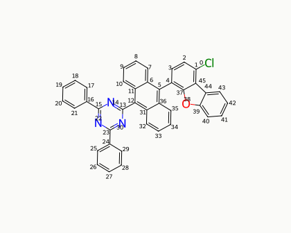 Clc1ccc(-c2c3ccccc3c(-c3nc(-c4ccccc4)nc(-c4ccccc4)n3)c3ccccc23)c2oc3ccccc3c12